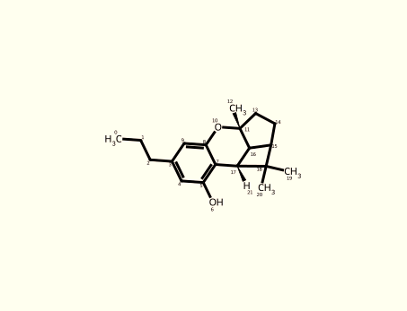 CCCc1cc(O)c2c(c1)O[C@]1(C)CCC3C1[C@@H]2C3(C)C